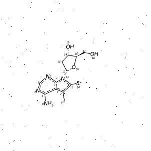 Nc1ncnc2c1c(I)c(Br)n2[C@@H]1C[C@H](O)[C@@H](CO)O1